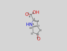 O=C1Cc2cc(C(=O)O)[nH]c2C1